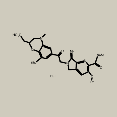 CCOc1cc2c(nc1C(=O)NC)C(=N)N(CC(=O)c1cc3c(c(C(C)(C)C)c1)OC(CC(=O)O)CN3C)C2.Cl